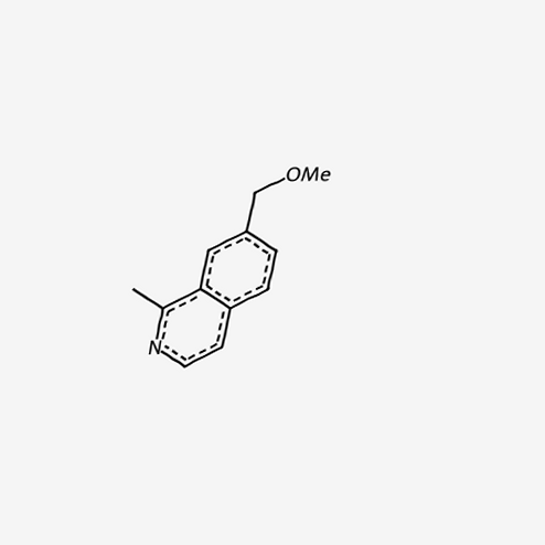 COCc1ccc2ccnc(C)c2c1